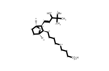 CCCCC(C)(C)C(O)/C=C/[C@H]1[C@@H](CCCCSCCCC(=O)O)[C@H]2CC[C@@H]1O2